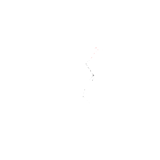 CC(C)=C=CCO